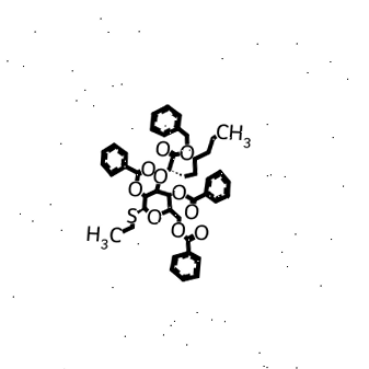 CCCCCC[C@H](OC1C(OC(=O)c2ccccc2)[C@H](SCC)OC(COC(=O)c2ccccc2)[C@@H]1OC(=O)c1ccccc1)C(=O)OCc1ccccc1